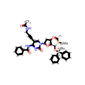 CSS[C@@H](C)OC1C[C@H](n2cc(C#CCNC(=O)C(F)(F)F)c(NC(=O)c3ccccc3)nc2=O)O[C@@H]1CO[Si](c1ccccc1)(c1ccccc1)C(C)(C)C